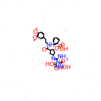 COc1ccc(CCNC(=O)C2CCC(N=C(N)N(B(O)O)C(=O)NO)C2)cc1OC.O=S(=O)(O)c1ccccc1